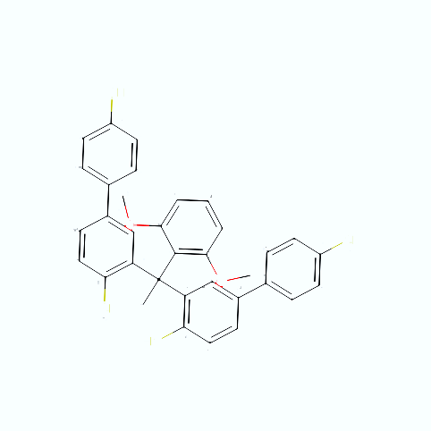 COc1cccc(OC)c1C(C)(c1cc(-c2ccc(S)cc2)ccc1S)c1cc(-c2ccc(S)cc2)ccc1S